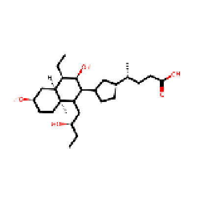 CC[C@@H](O)CC1[C@H](C2CC[C@H]([C@H](C)CCC(=O)O)C2)[C@H](O)[C@H](CC)[C@@H]2C[C@H](O)CC[C@]12C